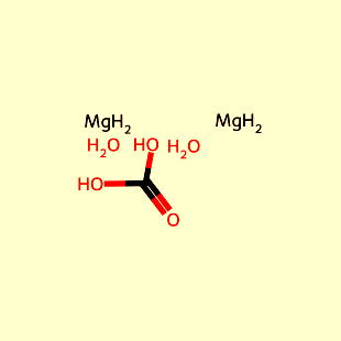 O.O.O=C(O)O.[MgH2].[MgH2]